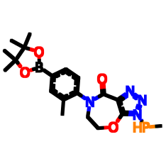 CPn1nnc2c1OCCN(c1ccc(B3OC(C)(C)C(C)(C)O3)cc1C)C2=O